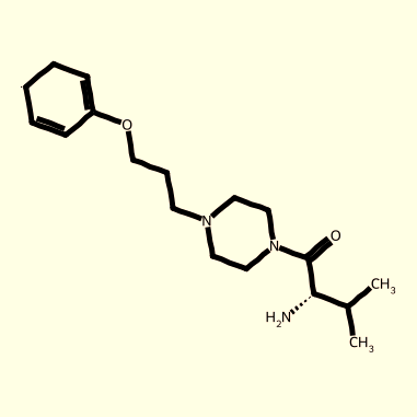 CC(C)[C@H](N)C(=O)N1CCN(CCCOC2=CC[CH]C=C2)CC1